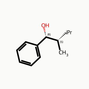 CC(C)[C@H](C)[C@@H](O)c1ccccc1